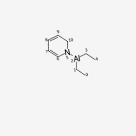 C[CH2][Al]([CH2]C)[N]1C=CC=CC1